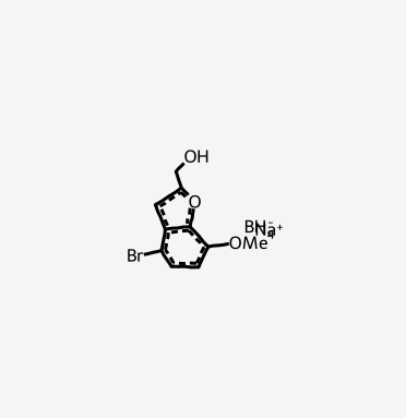 COc1ccc(Br)c2cc(CO)oc12.[BH4-].[Na+]